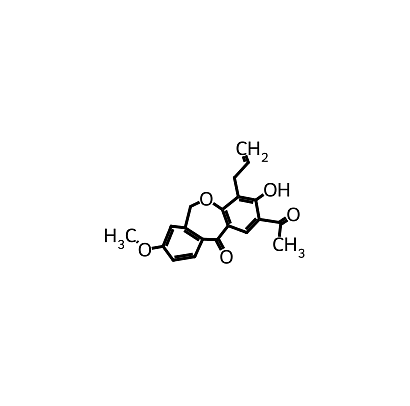 C=CCc1c(O)c(C(C)=O)cc2c1OCc1cc(OC)ccc1C2=O